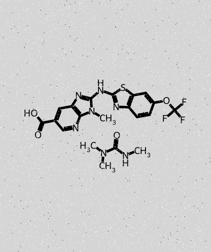 CNC(=O)N(C)C.Cn1c(Nc2nc3ccc(OC(F)(F)F)cc3s2)nc2cc(C(=O)O)cnc21